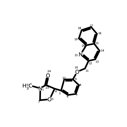 CN1COC(c2cccc(OCc3ccc4ccccc4n3)c2)C1=O